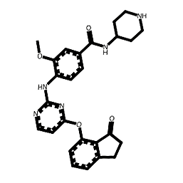 COc1cc(C(=O)NC2CCNCC2)ccc1Nc1nccc(Oc2cccc3c2C(=O)CC3)n1